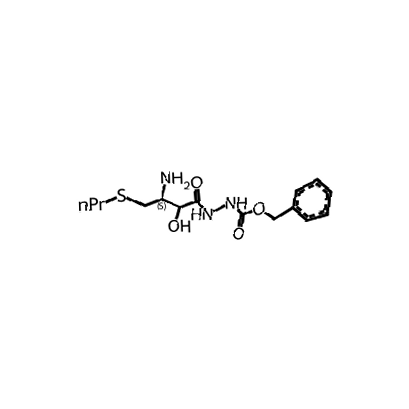 CCCSC[C@@H](N)C(O)C(=O)NNC(=O)OCc1ccccc1